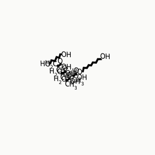 C=C(C)C(=O)O.C=C(C)C(=O)O.C=C(C)C(=O)O.C=C(C)C(=O)O.OCCCCCCCCCO.OCCCCCCO